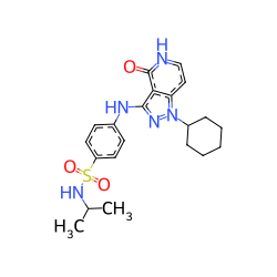 CC(C)NS(=O)(=O)c1ccc(Nc2nn(C3CCCCC3)c3cc[nH]c(=O)c23)cc1